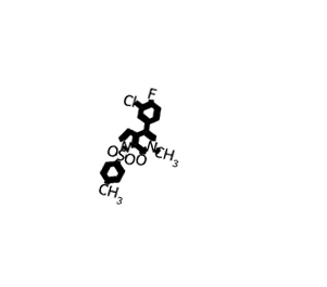 Cc1ccc(S(=O)(=O)n2ccc3c(-c4ccc(F)c(Cl)c4)cn(C)c(=O)c32)cc1